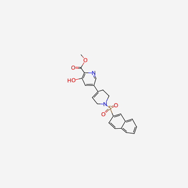 COC(=O)c1ncc(C2=CCN(S(=O)(=O)c3ccc4ccccc4c3)CC2)cc1O